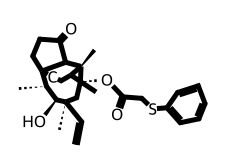 C=C[C@]1(C)C[C@@H](OC(=O)CSc2ccccc2)[C@]2(C)C(C)CCC3(CCC(=O)C32)[C@@H](C)[C@@H]1O